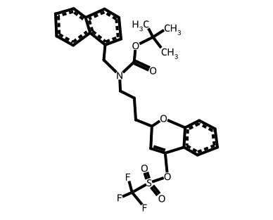 CC(C)(C)OC(=O)N(CCCC1C=C(OS(=O)(=O)C(F)(F)F)c2ccccc2O1)Cc1cccc2ccccc12